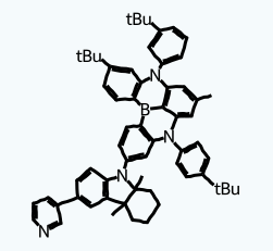 Cc1cc2c3c(c1)N(c1cccc(C(C)(C)C)c1)c1cc(C(C)(C)C)ccc1B3c1ccc(N3c4ccc(-c5cccnc5)cc4C4(C)CCCCC34C)cc1N2c1ccc(C(C)(C)C)cc1